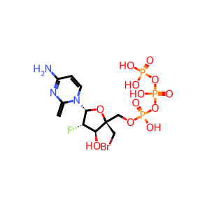 C=C1N=C(N)C=CN1[C@@H]1O[C@](CBr)(COP(=O)(O)OP(=O)(O)OP(=O)(O)O)[C@@H](O)[C@@H]1F